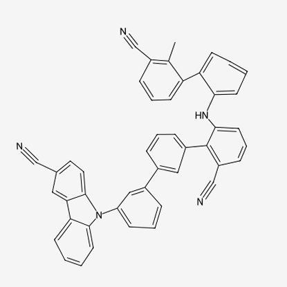 Cc1c(C#N)cccc1-c1ccccc1Nc1cccc(C#N)c1-c1cccc(-c2cccc(-n3c4ccccc4c4cc(C#N)ccc43)c2)c1